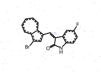 O=C1Nc2ccc(F)cc2/C1=C/c1cc(Br)c2cccccc1-2